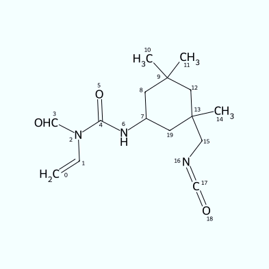 C=CN(C=O)C(=O)NC1CC(C)(C)CC(C)(CN=C=O)C1